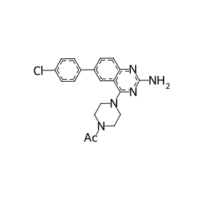 CC(=O)N1CCN(c2nc(N)nc3ccc(-c4ccc(Cl)cc4)cc23)CC1